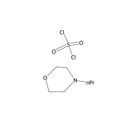 CCCN1CCOCC1.O=S(=O)(Cl)Cl